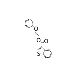 O=C(OCCOc1ccccc1)c1csc2ccccc12